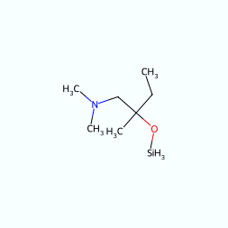 CCC(C)(CN(C)C)O[SiH3]